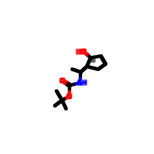 CC(NC(=O)OC(C)(C)C)C1CCC[C@@H]1O